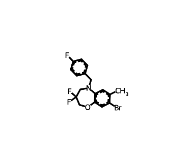 Cc1cc2c(cc1Br)OCC(F)(F)CN2Cc1ccc(F)cc1